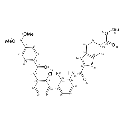 COC(OC)c1ccc(C(=O)Nc2cccc(-c3cccc(NC(=O)c4nc5c(s4)CN(C(=O)OC(C)(C)C)CC5)c3F)c2Cl)nc1